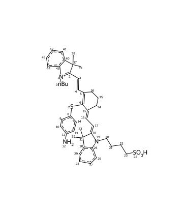 CCCC[N+]1=C(/C=C/C2=C(Sc3ccc(N)cc3)C(=C/C=C3/N(CCCCS(=O)(=O)O)c4ccccc4C3(C)C)/CCC2)C(C)(C)c2ccccc21